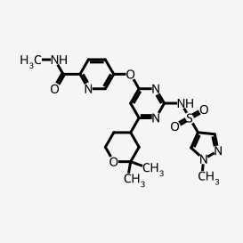 CNC(=O)c1ccc(Oc2cc(C3CCOC(C)(C)C3)nc(NS(=O)(=O)c3cnn(C)c3)n2)cn1